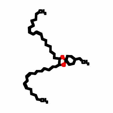 CCCCC/C=C\C/C=C\CCCCCCCC1OC2(CCC(CC)CC2)OC1CCCCCCC/C=C\C/C=C\CCCCC